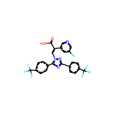 O=C(O)/C(=C/n1nc(-c2ccc(C(F)(F)F)cc2)nc1-c1ccc(C(F)(F)F)cc1)c1cncc(F)c1